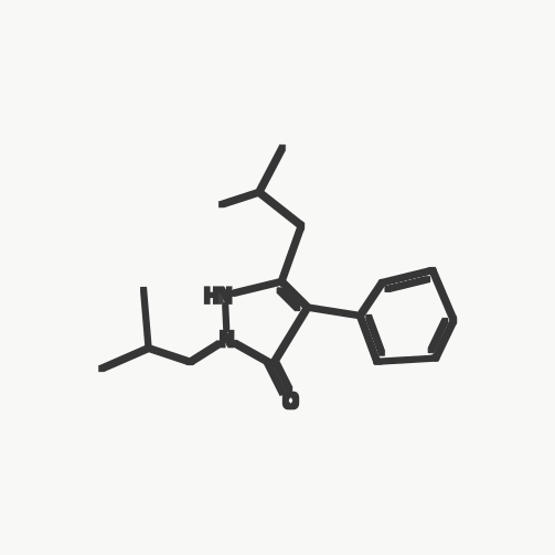 CC(C)Cc1[nH]n(CC(C)C)c(=O)c1-c1ccccc1